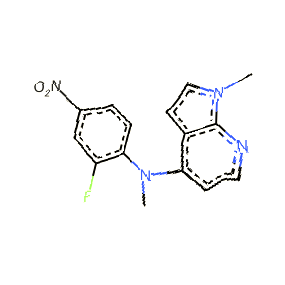 CN(c1ccc([N+](=O)[O-])cc1F)c1ccnc2c1ccn2C